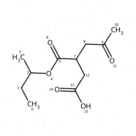 CCC(C)OC(=O)C(CC(C)=O)CC(=O)O